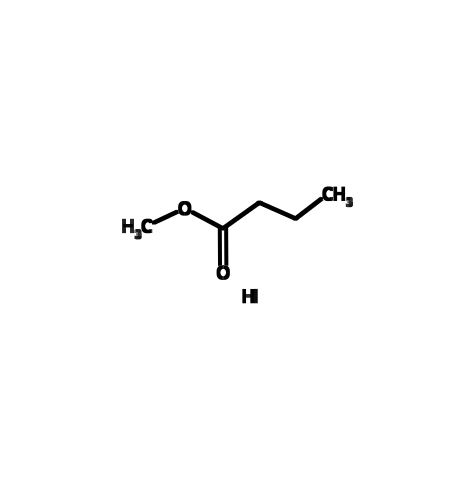 CCCC(=O)OC.I